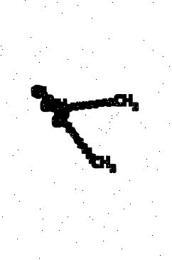 CCCCCCCCC=CCCCCCCCC(=O)OCC(CNC(=O)OCCN1CCCCC1)OC(=O)CCCCCCCC=CCCCCCCCC